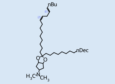 CCCC/C=C/C/C=C\CCCCCCCCC1(CCCCCCCCCCCCCCCCCC)OC2CC(N(C)C)CC2O1